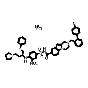 Cl.Cl.O=C(NS(=O)(=O)c1ccc(NC(CCN2CCCC2)CSc2ccccc2)c([N+](=O)[O-])c1)c1ccc2c(c1)cc1n2CCN(Cc2ccccc2-c2ccc(Cl)cc2)C1